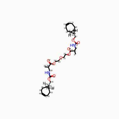 CC(CNC(=O)OC[C@@H]1[C@@H]2CCC#CCC[C@@H]21)C(=O)OCCOCCOC(=O)C(C)CNC(=O)OC[C@@H]1[C@@H]2CCC#CCC[C@@H]21